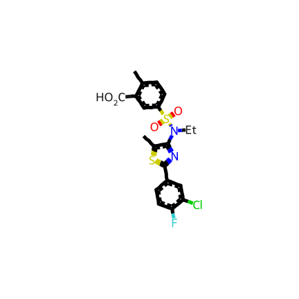 CCN(c1nc(-c2ccc(F)c(Cl)c2)sc1C)S(=O)(=O)c1ccc(C)c(C(=O)O)c1